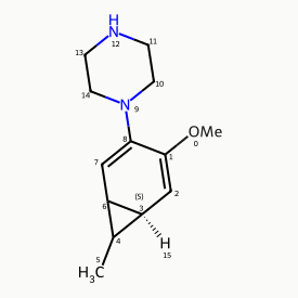 COC1=C[C@H]2C(C)C2C=C1N1CCNCC1